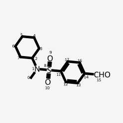 CN(C1CCCCC1)S(=O)(=O)c1ccc(C=O)cc1